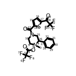 C[N+]1(OC(=O)C(F)(F)F)CCN(C(=O)c2ccc(C(=O)C(F)(F)F)s2)CC1c1ccccc1